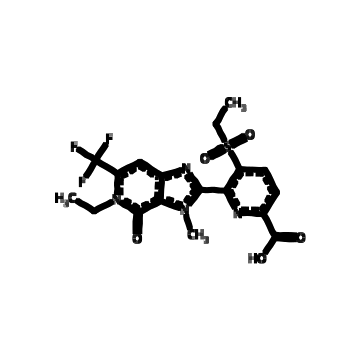 CCn1c(C(F)(F)F)cc2nc(-c3nc(C(=O)O)ccc3S(=O)(=O)CC)n(C)c2c1=O